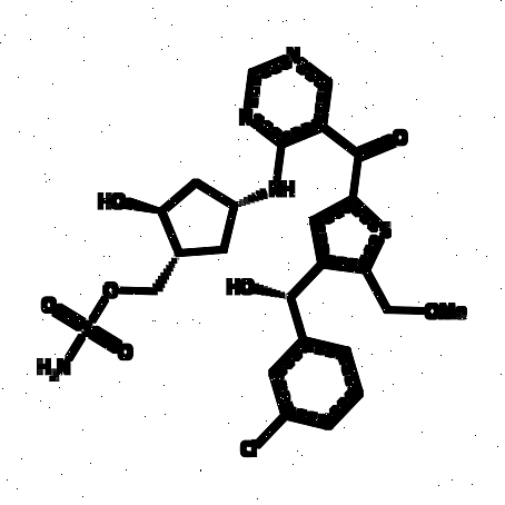 COCc1sc(C(=O)c2cncnc2N[C@@H]2C[C@H](COS(N)(=O)=O)[C@@H](O)C2)cc1[C@@H](O)c1cccc(Cl)c1